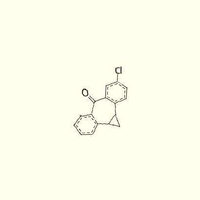 O=C1c2ccccc2C2CC2c2ccc(Cl)cc21